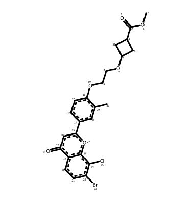 COC(=O)C1CC(OCCOc2ccc(-c3cc(=O)c4ccc(Br)c(Cl)c4o3)cc2C)C1